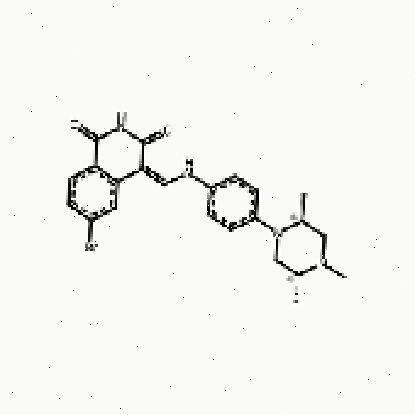 C[C@@H]1CN(c2ccc(NC=C3C(=O)NC(=O)c4ccc(Br)cc43)cc2)[C@@H](C)CN1C